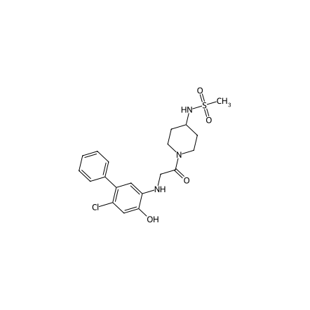 CS(=O)(=O)NC1CCN(C(=O)CNc2cc(-c3ccccc3)c(Cl)cc2O)CC1